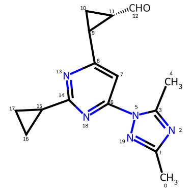 Cc1nc(C)n(-c2cc(C3C[C@@H]3C=O)nc(C3CC3)n2)n1